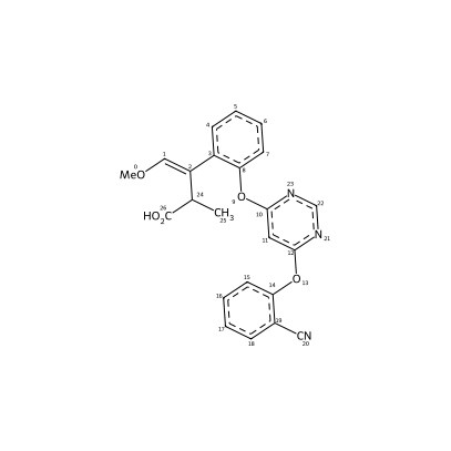 CO/C=C(/c1ccccc1Oc1cc(Oc2ccccc2C#N)ncn1)C(C)C(=O)O